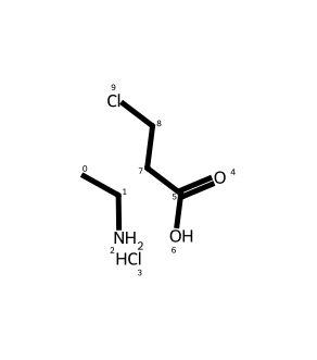 CCN.Cl.O=C(O)CCCl